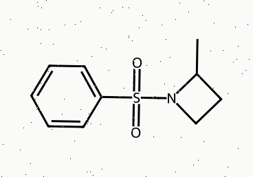 CC1CCN1S(=O)(=O)c1ccccc1